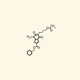 CC(=O)OCCCCn1c(=O)c2cc(C(=O)OCc3ccccc3)sc2n(C)c1=O